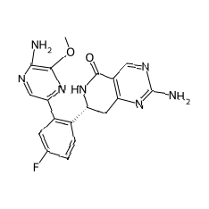 COc1nc(-c2cc(F)ccc2[C@H]2Cc3nc(N)ncc3C(=O)N2)cnc1N